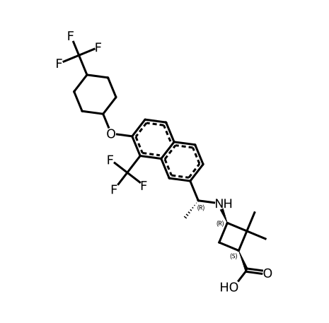 C[C@@H](N[C@@H]1C[C@H](C(=O)O)C1(C)C)c1ccc2ccc(OC3CCC(C(F)(F)F)CC3)c(C(F)(F)F)c2c1